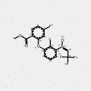 COC(=O)c1ccc(F)cc1Oc1cccc(/[N+](Cl)=C\C(F)(F)F)c1C